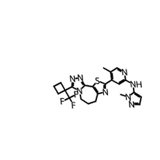 Cc1cnc(Nc2ccnn2C)cc1-c1nc2c(s1)-c1nnc(C3(C(F)(F)F)CCC3)n1CCC2